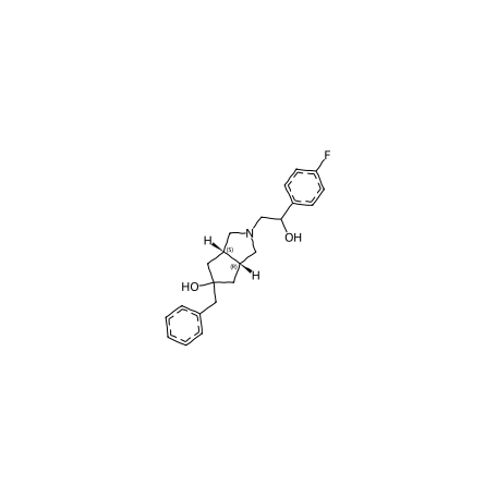 OC(CN1C[C@@H]2CC(O)(Cc3ccccc3)C[C@@H]2C1)c1ccc(F)cc1